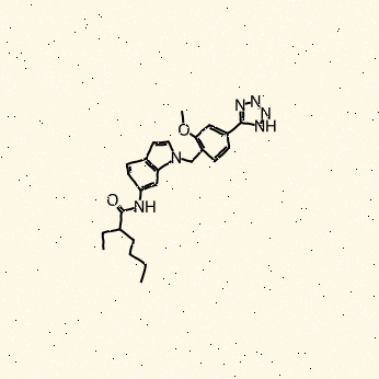 CCCCC(CC)C(=O)Nc1ccc2ccn(Cc3ccc(-c4nnn[nH]4)cc3OC)c2c1